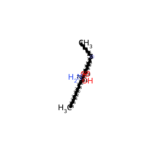 CCCCCCCC/C=C\CCCCCCCC(=O)OCC(N)C(O)C=CCCCCCCCCCCCCC